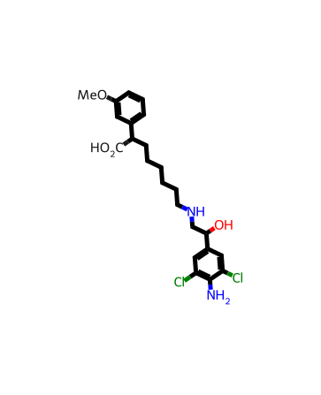 COc1cccc(C(CCCCCCNCC(O)c2cc(Cl)c(N)c(Cl)c2)C(=O)O)c1